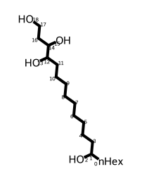 CCCCCCC(O)CCCCCCCCCC(O)C(O)CCO